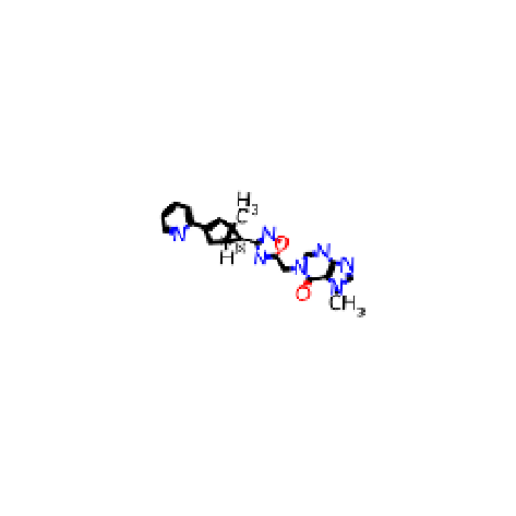 Cn1cnc2ncn(Cc3nc([C@H]4[C@@H]5CC(c6ccccn6)=CC54C)no3)c(=O)c21